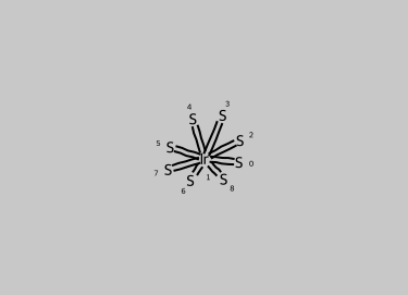 [S]=[Ir](=[S])(=[S])(=[S])(=[S])(=[S])(=[S])=[S]